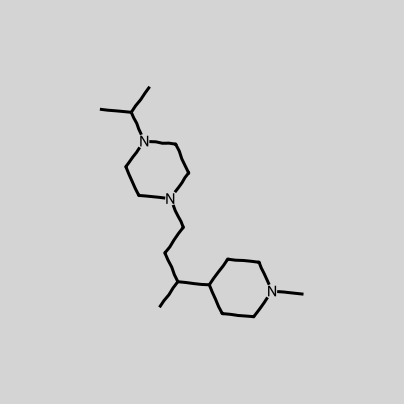 CC(CCN1CCN(C(C)C)CC1)C1CCN(C)CC1